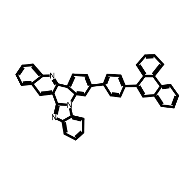 c1ccc2nc3c4ccc(-c5ccc(-c6cc7ccccc7c7ccccc67)cc5)cc4n4c5ccccc5nc4c3cc2c1